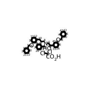 O=C(O)C(Cl)Cl.O[C@@H](CN(CCCc1cccc(OCc2ccccc2)c1)Cc1ccccc1)c1cccc(OCc2ccccc2)c1